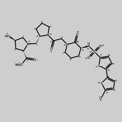 COC(=O)[C@@H]1C[C@@H](O)CN1C[C@@H]1CCCN1C(=O)CN1CCC[C@H](NS(=O)(=O)c2ccc(-c3ccc(Cl)s3)s2)C1=O